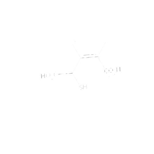 CC(C(=O)O)=C(C)C(S)C(=O)O